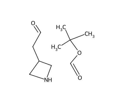 CC(C)(C)OC=O.O=CCC1CNC1